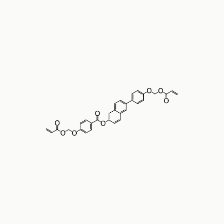 C=CC(=O)OCOc1ccc(C(=O)Oc2ccc3cc(-c4ccc(OCOC(=O)C=C)cc4)ccc3c2)cc1